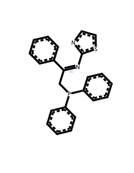 c1ccc(/C(CP(c2ccccc2)c2ccccc2)=N\c2nccs2)cc1